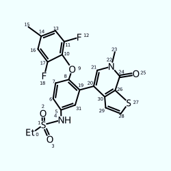 CCS(=O)(=O)Nc1ccc(Oc2c(F)cc(C)cc2F)c(-c2cn(C)c(=O)c3sccc23)c1